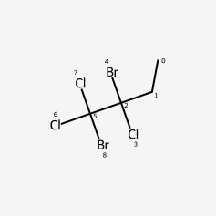 CCC(Cl)(Br)C(Cl)(Cl)Br